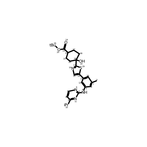 Cc1cc(Nc2nccc(C(C)C)n2)cc(-c2cnc(C3(O)CCC(C(=O)OC(C)(C)C)CC3)s2)c1